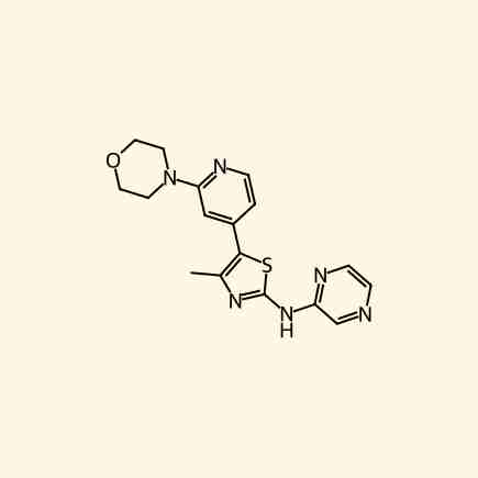 Cc1nc(Nc2cnccn2)sc1-c1ccnc(N2CCOCC2)c1